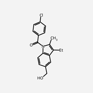 CCc1c(C)n(C(=O)c2ccc(Cl)cc2)c2ccc(CO)cc12